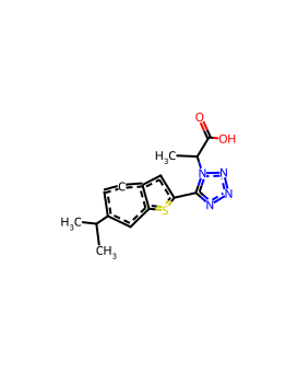 CC(C)c1ccc2cc(-c3nnnn3C(C)C(=O)O)sc2c1